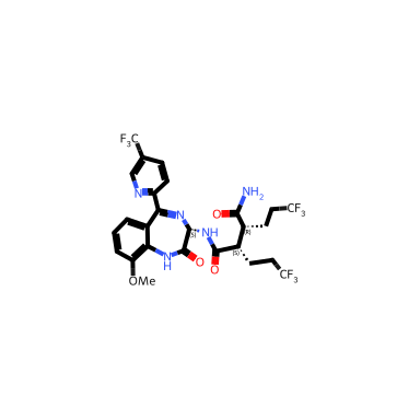 COc1cccc2c1NC(=O)[C@@H](NC(=O)[C@@H](CCC(F)(F)F)[C@@H](CCC(F)(F)F)C(N)=O)N=C2c1ccc(C(F)(F)F)cn1